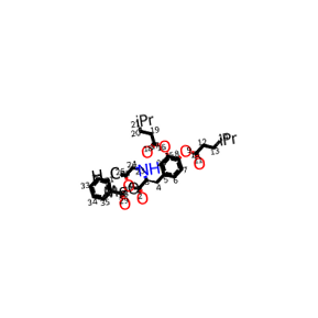 COC(=O)[C@H](Cc1ccc(OC(=O)CCC(C)C)c(OC(=O)CCC(C)C)c1)NCC(C)OC(=O)c1ccccc1